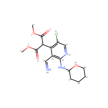 COC(=O)C(C(=O)OC)c1c(Cl)cnc(NC2CCCCO2)c1C=N